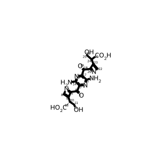 Nc1nc(C(=O)C2=NC=C2[C@H](CO)C(=O)O)c(N)nc1C(=O)C1=NC=C1C(CO)C(=O)O